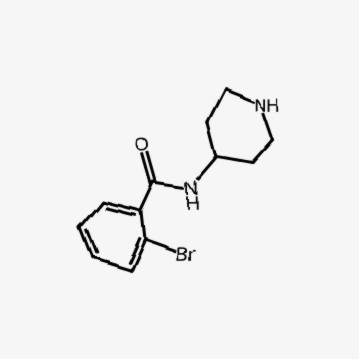 O=C(NC1CCNCC1)c1ccccc1Br